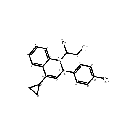 CCC(CO)N1c2ccccc2C(C2CC2)=C[C@@H]1c1ccc(C(F)(F)F)cc1